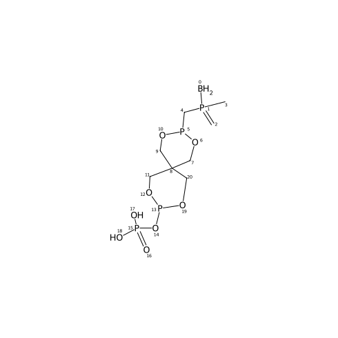 BP(=C)(C)CP1OCC2(CO1)COP(OP(=O)(O)O)OC2